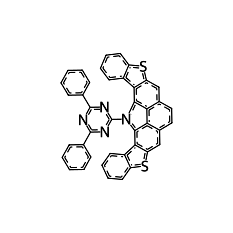 c1ccc(-c2nc(-c3ccccc3)nc(-n3c4c5c(cc6ccc7cc8sc9ccccc9c8c3c7c64)sc3ccccc35)n2)cc1